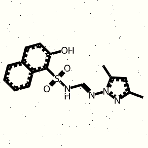 Cc1cc(C)n(N=CNS(=O)(=O)c2c(O)ccc3ccccc23)n1